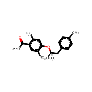 CCOC(=O)[C@H](Cc1ccc(OC)cc1)Oc1cc(C(F)(F)F)c(C(=O)OC)cc1[N+](=O)[O-]